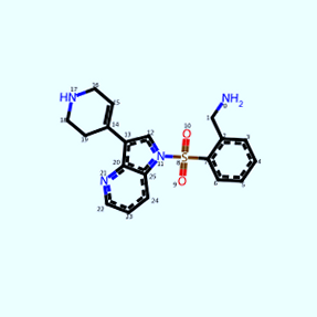 NCc1ccccc1S(=O)(=O)n1cc(C2=CCNCC2)c2ncccc21